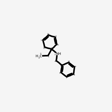 CCC1(NCc2ccccc2)C=CC=CC1